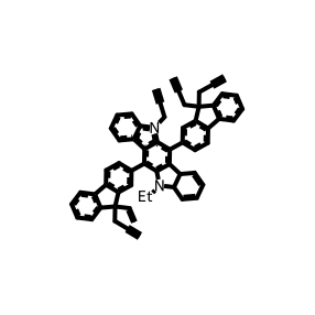 C#CCn1c2ccccc2c2c(-c3ccc4c(c3)C(C=C)(CC#C)c3ccccc3-4)c3c(c(-c4ccc5c(c4)C(CC#C)(CC#C)c4ccccc4-5)c21)C1C=CC=CC1N3CC